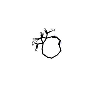 O=C(O)C1(C(=O)O)/C=C\C=C\CCCCCCC1(C(=O)O)C(=O)O